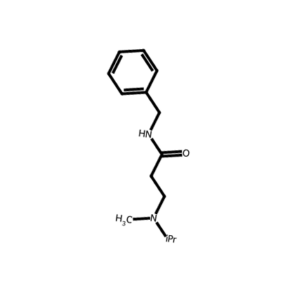 CC(C)N(C)CCC(=O)NCc1ccccc1